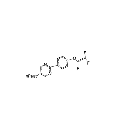 CCCCCc1cnc(-c2ccc(OC(F)=C(F)F)cc2)nc1